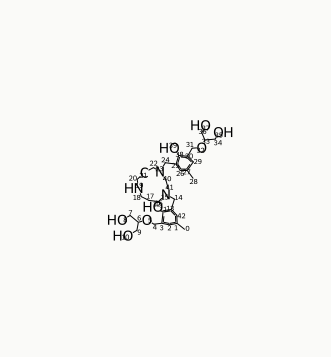 Cc1cc(COC(CO)CO)c(O)c(CN2CCCNCCCN(Cc3cc(C)cc(COC(CO)CO)c3O)CC2)c1